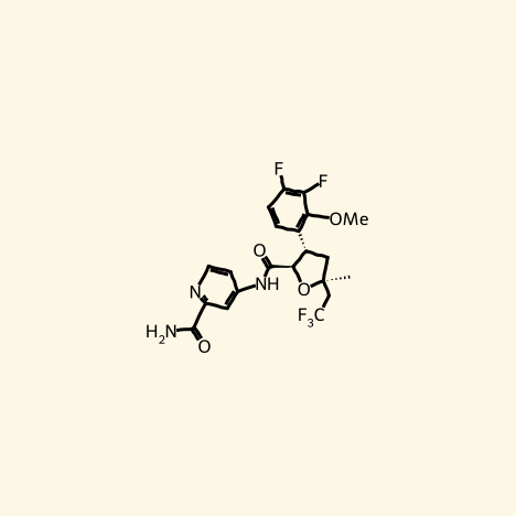 COc1c([C@@H]2C[C@@](C)(CC(F)(F)F)O[C@H]2C(=O)Nc2ccnc(C(N)=O)c2)ccc(F)c1F